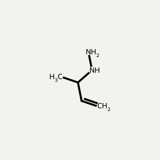 C=CC(C)NN